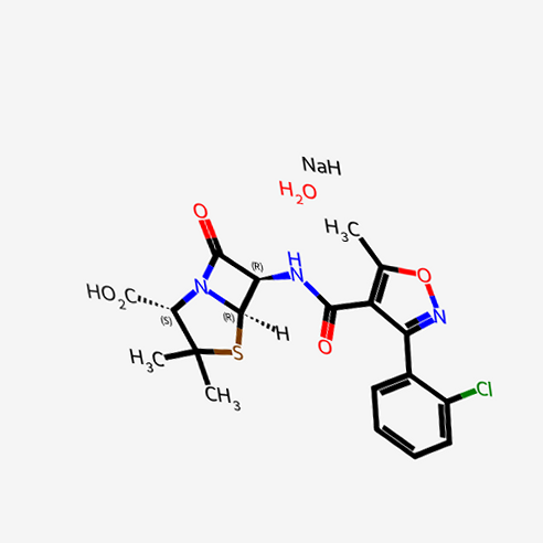 Cc1onc(-c2ccccc2Cl)c1C(=O)N[C@@H]1C(=O)N2[C@@H]1SC(C)(C)[C@@H]2C(=O)O.O.[NaH]